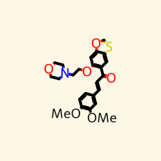 COc1ccc(C=CC(=O)c2cc3c(cc2OCCN2CCOCC2)OCS3)cc1OC